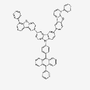 c1ccc(-c2c3ccccc3c(-c3ccc(-n4c5ccc(-c6ccc7oc8c(-c9ccccc9)cccc8c7c6)cc5c5cc(-c6ccc7oc8c(-c9ccccc9)cccc8c7c6)ccc54)cc3)c3ccccc23)cc1